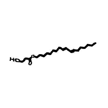 CCCCCCCCCCCCCCCCCCOC(=O)CCO